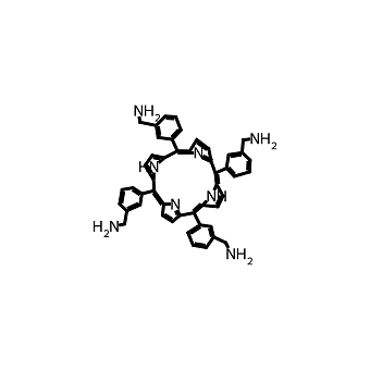 NCc1cccc(-c2c3nc(c(-c4cccc(CN)c4)c4ccc([nH]4)c(-c4cccc(CN)c4)c4nc(c(-c5cccc(CN)c5)c5ccc2[nH]5)C=C4)C=C3)c1